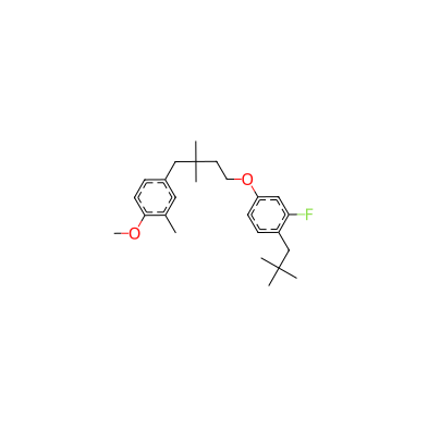 COc1ccc(CC(C)(C)CCOc2ccc(CC(C)(C)C)c(F)c2)cc1C